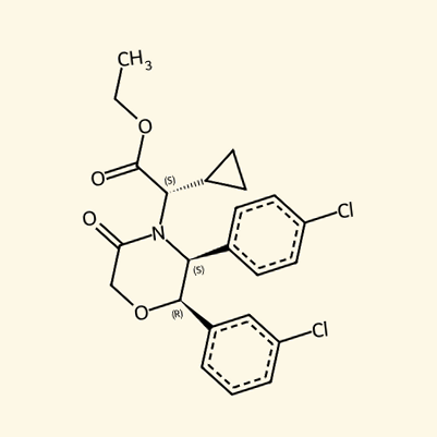 CCOC(=O)[C@H](C1CC1)N1C(=O)CO[C@H](c2cccc(Cl)c2)[C@@H]1c1ccc(Cl)cc1